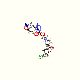 O=C(Nc1ccc2oncc2c1)OCCN1CCC(C(=O)c2ccc(Br)cc2)CC1